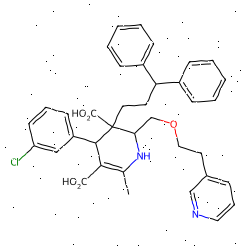 CC1=C(C(=O)O)C(c2cccc(Cl)c2)C(CCC(c2ccccc2)c2ccccc2)(C(=O)O)C(COCCc2cccnc2)N1